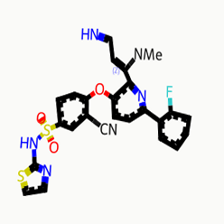 CN/C(=C\C=N)c1nc(-c2ccccc2F)ccc1Oc1ccc(S(=O)(=O)Nc2nccs2)cc1C#N